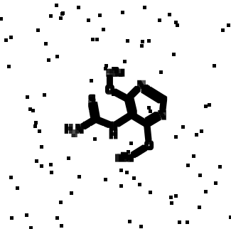 CCCCOc1ncnc(OCCCC)c1NC(N)=S